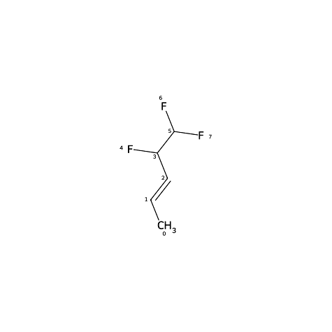 CC=CC(F)C(F)F